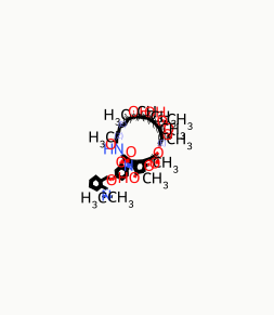 CO[C@H]1/C=C/O[C@@]2(C)Oc3c(C)c(O)c4c(=O)c(c5oc6cc(OCc7ccccc7CN(C)C)ccc6nc-5c4c3C2=O)NC(=O)/C(C)=C\C=C\[C@H](C)[C@H](O)[C@@H](C)[C@@H](O)[C@@H](C)[C@H](OC(C)=O)[C@@H]1C